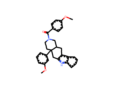 COc1ccc(C(=O)N2CCC3(c4cccc(OC)c4)Cc4[nH]c5ccccc5c4CC3C2)cc1